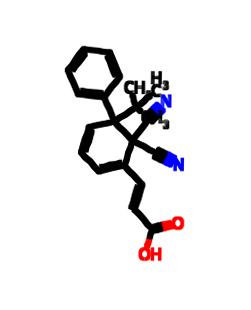 CC(C)(C)C1(c2ccccc2)C=CC=C(C=CC(=O)O)C1(C#N)C#N